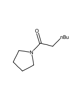 [CH2]CCCCC(=O)N1CCCC1